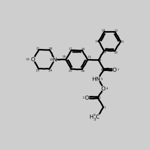 CCC(=O)ONC(=O)C(c1ccccc1)c1ccc(N2CCOCC2)cc1